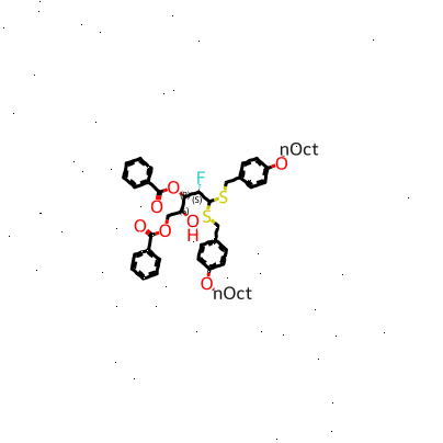 CCCCCCCCOc1ccc(CSC(SCc2ccc(OCCCCCCCC)cc2)[C@@H](F)[C@H](OC(=O)c2ccccc2)[C@@H](O)COC(=O)c2ccccc2)cc1